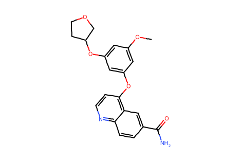 COc1cc(Oc2ccnc3ccc(C(N)=O)cc23)cc(OC2CCOC2)c1